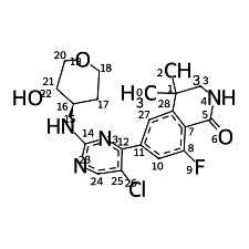 CC1(C)CNC(=O)c2c(F)cc(-c3nc(N[C@@H]4CCOC[C@H]4O)ncc3Cl)cc21